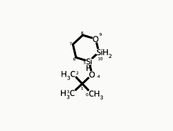 CC(C)(C)O[SiH]1CCCO[SiH2]1